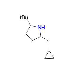 CC(C)(C)C1CCC(CC2CC2)N1